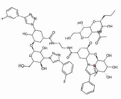 CCC[C@H](OC1C(NC(C)=O)[C@H](O[C@@H]2CC(C(=O)NCCNC(=O)C3CC(n4cc(-c5cccc(F)c5)nn4)C(O)[C@H](O[C@@H]4OC(CO)[C@H](O)C(n5cc(-c6cccc(F)c6)nn5)C4O)C3)CC(n3cc(-c4ccccc4)nn3)C2O[C@@H]2OC(C)[C@@H](O)C(O)C2O)OC(CO)[C@@H]1O)C(=O)O